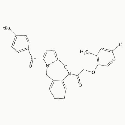 Cc1cc(Cl)ccc1OCC(=O)N1Cc2ccc(C(=O)c3ccc(C(C)(C)C)cc3)n2Cc2ccccc21